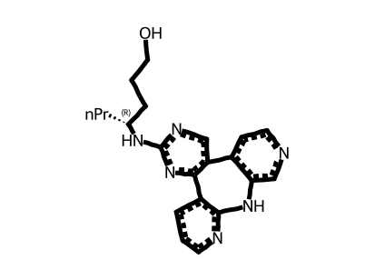 CCC[C@H](CCCO)Nc1ncc2c(n1)-c1cccnc1Nc1cnccc1-2